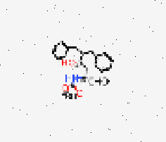 CC(C)(C)OC(=O)N[C@@H]([C]=O)C[C@@H](O)C(Cc1ccccc1)Cc1ccccc1